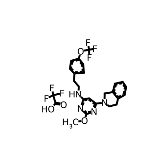 COc1nc(NCCc2ccc(OC(F)(F)F)cc2)cc(N2CCc3ccccc3C2)n1.O=C(O)C(F)(F)F